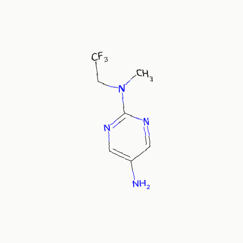 CN(CC(F)(F)F)c1ncc(N)cn1